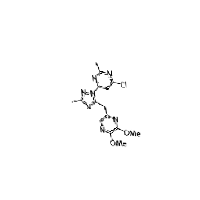 COc1ncc(Cc2nc(C)nn2-c2cc(Cl)nc(C)n2)nc1OC